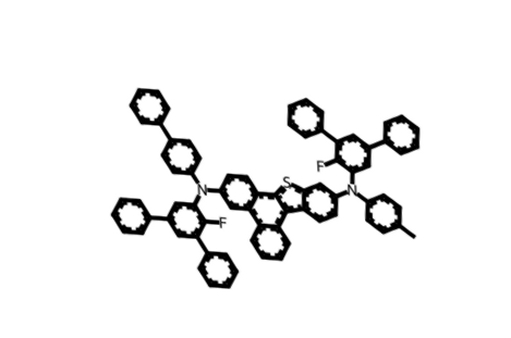 Cc1ccc(N(c2ccc3c(c2)sc2c4ccc(N(c5ccc(-c6ccccc6)cc5)c5cc(-c6ccccc6)cc(-c6ccccc6)c5F)cc4c4ccccc4c32)c2cc(-c3ccccc3)cc(-c3ccccc3)c2F)cc1